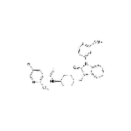 CNc1cc(-n2c(=O)n(C[C@H]3CC[C@H](NC(=O)c4cc(Cl)cnc4C(F)(F)F)CC3)c3ccccc32)ccn1